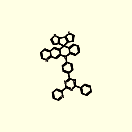 c1ccc(-c2nc(-c3ccc(N4c5ccccc5C5(c6cc7cccnc7cc64)c4ccsc4-c4sccc45)cc3)nc(-c3ccccn3)n2)cc1